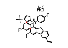 C=Cc1ccc2c(c1)-c1cc(C=C)c[c]([Zr](=[CH2])([C]3=CC(C(C)(C)C)=CC3)([c]3ccc(F)cc3)[c]3ccc(F)cc3)c1C2.Cl.Cl